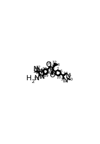 Cc1ncc(-c2ccc3c(c2)OCC3N(C(=O)c2ccc3nc(N)c4cncn4c3c2)C2CC2)cn1